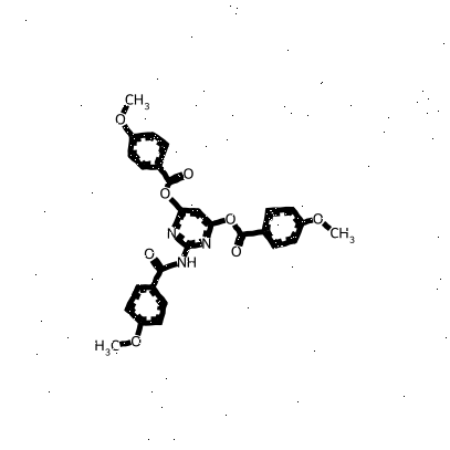 COc1ccc(C(=O)Nc2nc(OC(=O)c3ccc(OC)cc3)cc(OC(=O)c3ccc(OC)cc3)n2)cc1